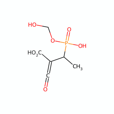 CC(C(=C=O)C(=O)O)P(=O)(O)OCO